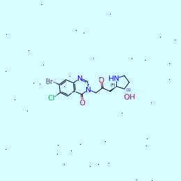 O=C(C[C@H]1NCC[C@@H]1O)Cn1cnc2cc(Br)c(Cl)cc2c1=O